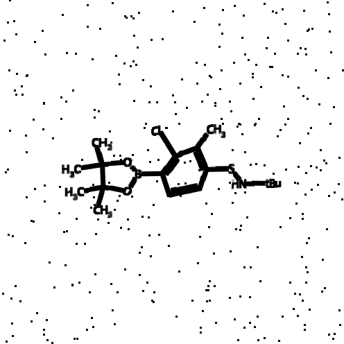 Cc1c(SNC(C)(C)C)ccc(B2OC(C)(C)C(C)(C)O2)c1Cl